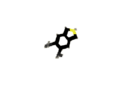 CCCc1cc2cscc2cc1CCC